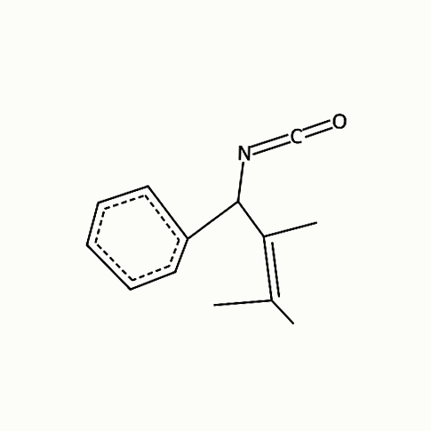 CC(C)=C(C)C(N=C=O)c1ccccc1